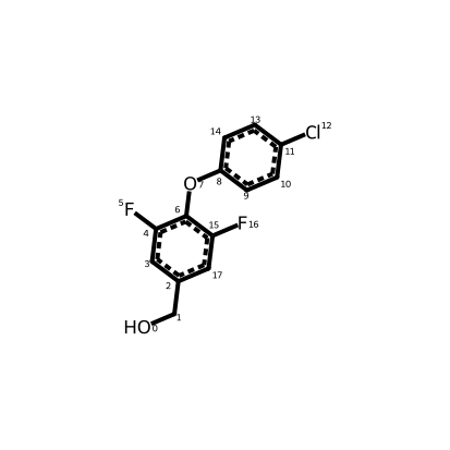 OCc1cc(F)c(Oc2ccc(Cl)cc2)c(F)c1